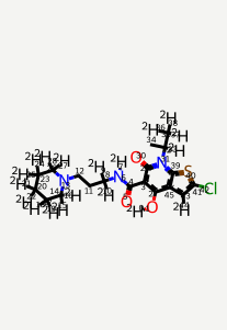 [2H]Oc1c(C(=O)N([2H])C([2H])([2H])CCN2C([2H])([2H])C([2H])([2H])C([2H])([2H])C([2H])([2H])C2([2H])[2H])c(=O)n(C([2H])(C)C([2H])([2H])[2H])c2sc(Cl)c([2H])c12